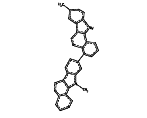 Cc1ccc2[nH]c3c4cccc(-c5ccc6c7ccc8ccccc8c7n(C)c6c5)c4ccc3c2c1